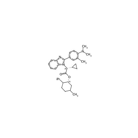 Cc1cc(-c2nc3ccccc3n2[C@@H](C(=O)O[C@@H]2CC(C)CCC2C(C)C)C2CC2)ccc1N(C)C